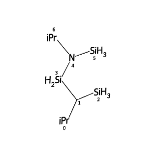 CC(C)C([SiH3])[SiH2]N([SiH3])C(C)C